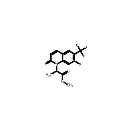 COC(=O)C(C)n1c(=O)ccc2cc(C(F)(F)F)c(F)cc21